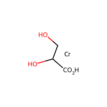 O=C(O)C(O)CO.[Cr]